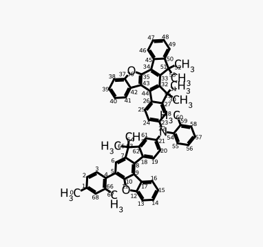 Cc1ccc(-c2cc3c(c4c2oc2ccccc24)-c2ccc(N(c4ccc5c(c4)C(C)(C)c4c6c(c7oc8ccccc8c7c4-5)-c4ccccc4C6(C)C)c4ccccc4C)cc2C3(C)C)c(C)c1